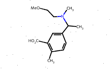 COCCN(C)C(C)c1ccc(C)c(C(=O)O)c1